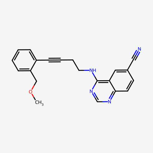 COCc1ccccc1C#CCCNc1ncnc2ccc(C#N)cc12